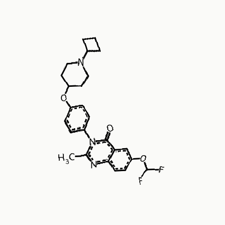 Cc1nc2ccc(OC(F)F)cc2c(=O)n1-c1ccc(OC2CCN(C3CCC3)CC2)cc1